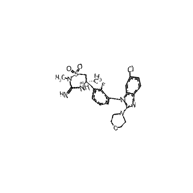 CN1C(=N)N[C@](C)(c2cccc(-n3c(N4CCOCC4)nc4ccc(Cl)cc43)c2F)CS1(=O)=O